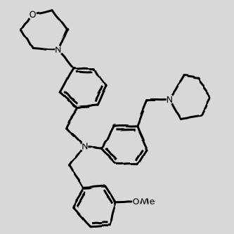 COc1cccc(CN(Cc2cccc(N3CCOCC3)c2)c2cccc(CN3CCCCC3)c2)c1